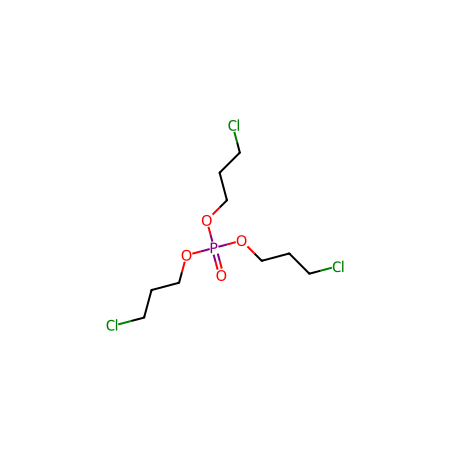 O=P(OCCCCl)(OCCCCl)OCCCCl